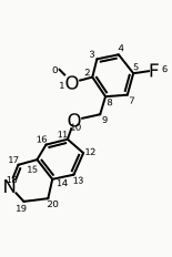 COc1ccc(F)cc1COc1ccc2c(c1)C=NCC2